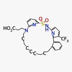 O=C(O)CCN1CCCCCCCCCc2ccccc2-c2nc(ccc2C(F)(F)F)NS(=O)(=O)c2cccc1n2